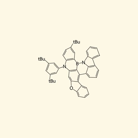 CC(C)(C)c1cc(N2c3ccc(C(C)(C)C)cc3B3c4c2cc2oc5ccccc5c2c4-c2cccc4c5ccccc5n3c24)cc(C(C)(C)C)c1